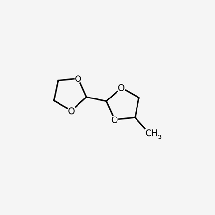 CC1COC(C2OCCO2)O1